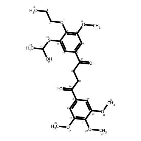 CCCOc1c(OC)cc(C(=O)CCC(=O)c2cc(OC)c(OC)c(OC)c2)cc1SC(C)O